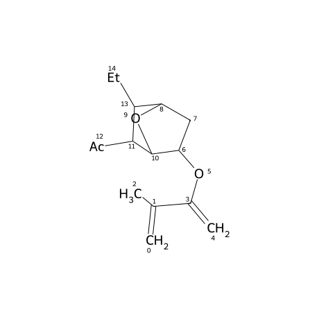 C=C(C)C(=C)OC1CC2OC1C(C(C)=O)C2CC